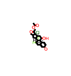 CC(=O)OCC(=O)[C@@]1(Cl)C(C)C[C@H]2[C@@H]3C(F)CC4=CC(=O)C=C[C@]4(C)[C@@]3(F)C(O)C[C@@]21C